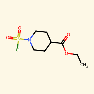 CCOC(=O)C1CCN(S(=O)(=O)Cl)CC1